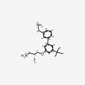 CC(C)(C)c1cc(OC[C@H](F)CN)cc(-c2cccc(CN)c2)c1